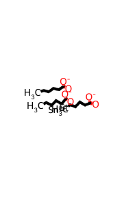 CCCCCC(=O)[O-].CCCCCC(=O)[O-].CCCCCC(=O)[O-].C[CH2][Sn+3]